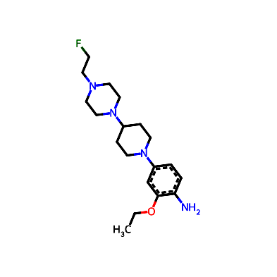 CCOc1cc(N2CCC(N3CCN(CCF)CC3)CC2)ccc1N